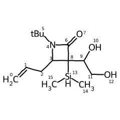 C=CCC1N(C(C)(C)C)C(=O)C1(C(O)CO)[SiH](C)C